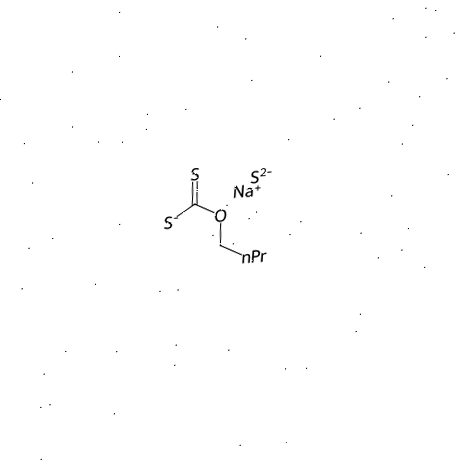 CCCCOC(=S)[S-].[Na+].[S-2]